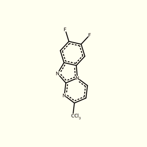 Fc1cc2nc3nc(C(Cl)(Cl)Cl)ccn3c2cc1F